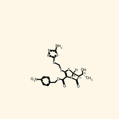 C[C@@H](O)[C@H]1C(=O)N2C(C(=O)OCc3ccc([N+](=O)[O-])cc3)=C(SCSc3nnc(N)s3)S[C@H]12